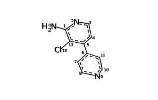 Nc1nccc(-c2ccncc2)c1Cl